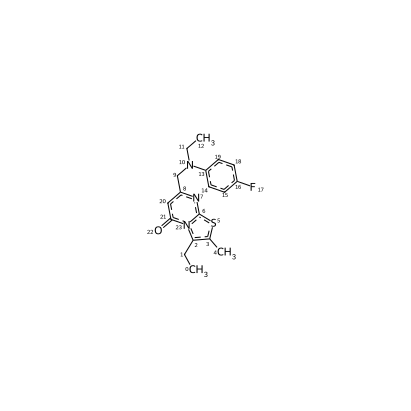 CCc1c(C)sc2nc(CN(CC)c3ccc(F)cc3)cc(=O)n12